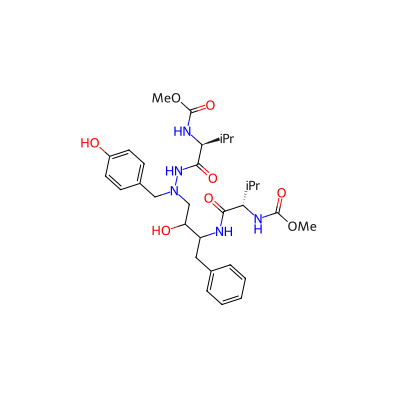 COC(=O)N[C@H](C(=O)NC(Cc1ccccc1)C(O)CN(Cc1ccc(O)cc1)NC(=O)[C@@H](NC(=O)OC)C(C)C)C(C)C